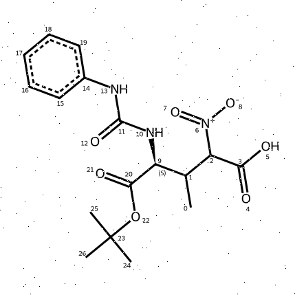 CC(C(C(=O)O)[N+](=O)[O-])[C@H](NC(=O)Nc1ccccc1)C(=O)OC(C)(C)C